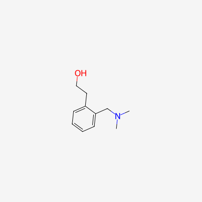 CN(C)Cc1ccccc1CCO